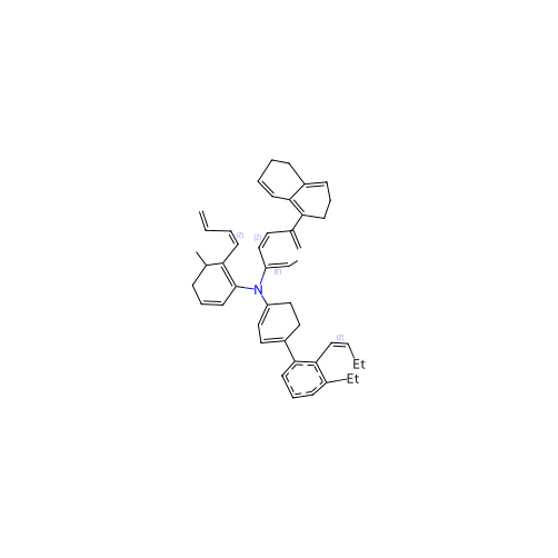 C=C/C=C\C1=C(N(C2=CC=C(c3cccc(CC)c3/C=C\CC)CC2)C(/C=C\C(=C)C2=C3C=CCCC3=CCC2)=C/C)C=CCC1C